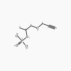 C#CCOCC(C)OP(=O)(Cl)Cl